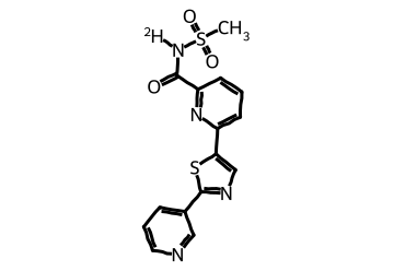 [2H]N(C(=O)c1cccc(-c2cnc(-c3cccnc3)s2)n1)S(C)(=O)=O